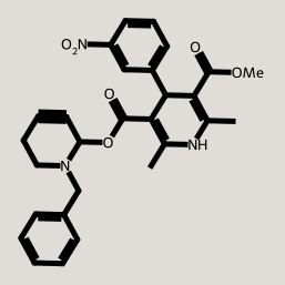 COC(=O)C1=C(C)NC(C)=C(C(=O)OC2C#CCCN2Cc2ccccc2)C1c1cccc([N+](=O)[O-])c1